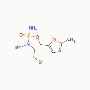 CCCN(CCBr)P(N)(=O)OCc1ccc(C)o1